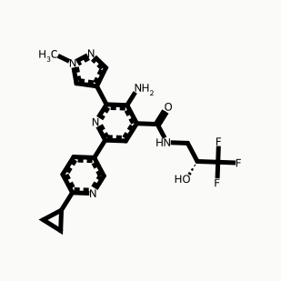 Cn1cc(-c2nc(-c3ccc(C4CC4)nc3)cc(C(=O)NC[C@@H](O)C(F)(F)F)c2N)cn1